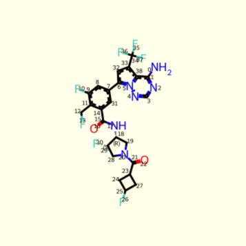 Nc1ncnn2c(-c3cc(F)c(CF)c(C(=O)N[C@@H]4CN(C(=O)C5CC(F)C5)C[C@@H]4F)c3)cc(C(F)(F)F)c12